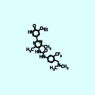 CCOc1cc(-c2nc(C)c(NC(=O)Nc3ccc(CN(C)C)c(C(F)(F)F)c3)c(C)n2)c[nH]c1=O